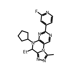 CCC1c2nnc(C)n2-c2cnc(-c3ccnc(F)c3)nc2N1C1CCCC1